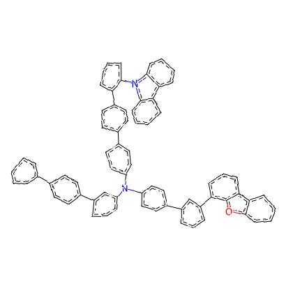 c1ccc(-c2ccc(-c3cccc(N(c4ccc(-c5ccc(-c6ccccc6-n6c7ccccc7c7ccccc76)cc5)cc4)c4ccc(-c5cccc(-c6cccc7c6oc6ccccc67)c5)cc4)c3)cc2)cc1